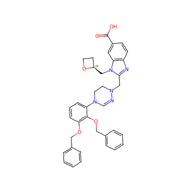 O=C(O)c1ccc2nc(CN3CCN(c4cccc(OCc5ccccc5)c4OCc4ccccc4)C=N3)n(C[C@@H]3CCO3)c2c1